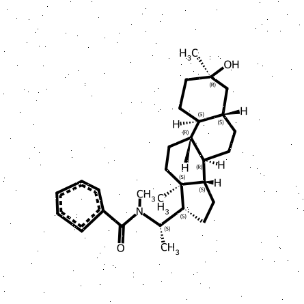 C[C@@H]([C@H]1CC[C@H]2[C@@H]3CC[C@H]4C[C@](C)(O)CC[C@@H]4[C@H]3CC[C@]12C)N(C)C(=O)c1ccccc1